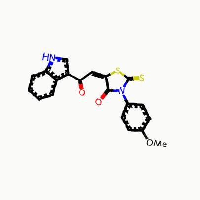 COc1ccc(N2C(=O)/C(=C\C(=O)c3c[nH]c4ccccc34)SC2=S)cc1